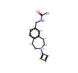 CCC(=O)NCc1ccc2c(c1)CCN(C1=CC=C1)CC2